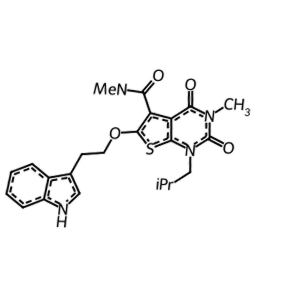 CNC(=O)c1c(OCCc2c[nH]c3ccccc23)sc2c1c(=O)n(C)c(=O)n2CC(C)C